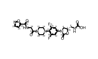 O=C(O)NC[C@H]1CN(c2cc(F)c(N3CCN(C(=O)CNC(=O)c4ccno4)CC3)c(F)c2)C(=O)O1